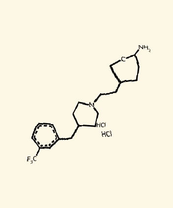 Cl.Cl.NC1CCC(CCN2CCC(Cc3cccc(C(F)(F)F)c3)CC2)CC1